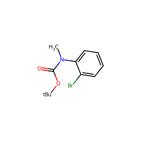 CN(C(=O)OC(C)(C)C)c1ccccc1Br